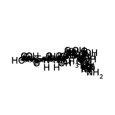 CC(C)(COP(=O)(O)OP(=O)(O)OC[C@H]1O[C@@H](n2cnc3c(N)ncnc32)[C@H](O)[C@@H]1OP(=O)(O)O)[C@@H](O)C(=O)NCCC(=O)NCCSC(=O)CCC(O)CC(=O)O